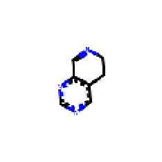 C1=NCCc2cncnc21